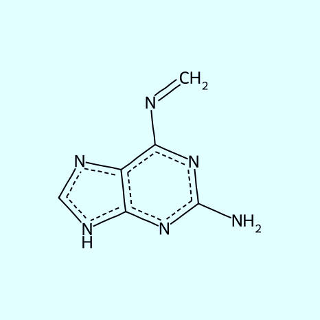 C=Nc1nc(N)nc2[nH]cnc12